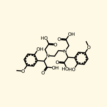 COc1ccc(O)c(C(C(=O)O)N(CCN(CC(=O)O)C(C(=O)O)c2cc(OC)ccc2O)CC(=O)O)c1